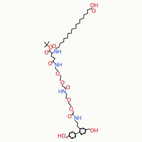 CC(C)(C)OC(=O)C(CCC(=O)NCCOCCOCC(=O)NCCOCCOCC(=O)NCCCc1cc(CO)ccc1-c1ccc(CO)cc1)NC(=O)CCCCCCCCCCCCCCCCC(=O)O